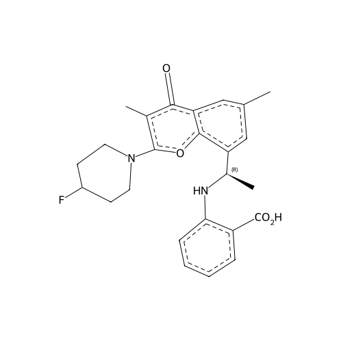 Cc1cc([C@@H](C)Nc2ccccc2C(=O)O)c2oc(N3CCC(F)CC3)c(C)c(=O)c2c1